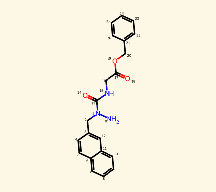 NN(Cc1ccc2ccccc2c1)C(=O)NCC(=O)OCc1ccccc1